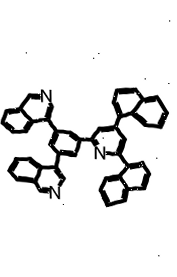 c1ccc2c(-c3cc(-c4cc(-c5cncc6ccccc56)cc(-c5cncc6ccccc56)c4)nc(-c4cccc5ccccc45)c3)cccc2c1